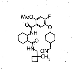 COc1cc(F)c(OC2CCC(CN=O)CC2)cc1C(=O)NC1CCCCC1C(=O)NCC1(C)CCC1